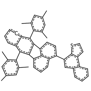 Cc1cc(C)c(-c2c3c(c(-c4c(C)cc(C)cc4C)c4ccccc24)-c2ccc(-c4cc5ccccc5c5ccsc45)c4cccc-3c24)c(C)c1